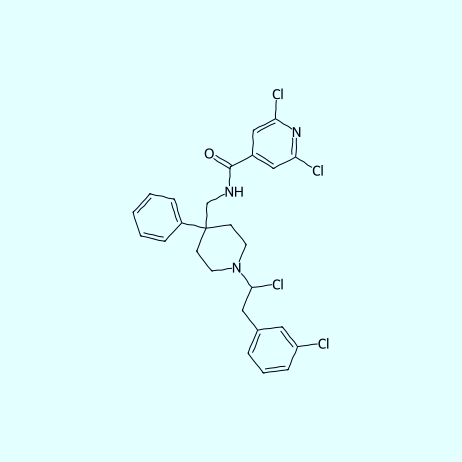 O=C(NCC1(c2ccccc2)CCN(C(Cl)Cc2cccc(Cl)c2)CC1)c1cc(Cl)nc(Cl)c1